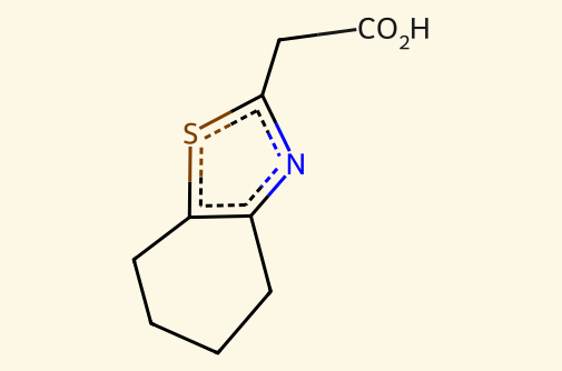 O=C(O)Cc1nc2c(s1)CCCC2